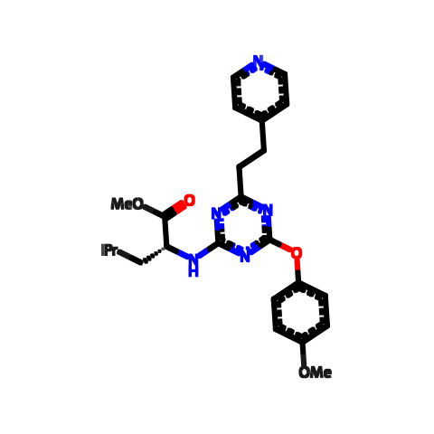 COC(=O)[C@@H](CC(C)C)Nc1nc(CCc2ccncc2)nc(Oc2ccc(OC)cc2)n1